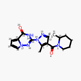 Cc1c(C(=O)N2CCCCC2C(F)(F)F)cnn1-c1nn2cccc2c(=O)[nH]1